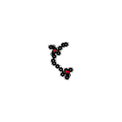 c1ccc(N(c2ccc(-c3ccc(-c4ccc5ccc(-c6ccc7c(c6)oc6cccc(-c8ccccc8N(c8ccc(-c9ccc%10ccccc%10c9)cc8)c8ccc9c(c8)oc8ccccc89)c67)cc5c4)cc3)cc2)c2ccc3c(c2)oc2ccccc23)c(-c2cccc3oc4ccccc4c23)c1